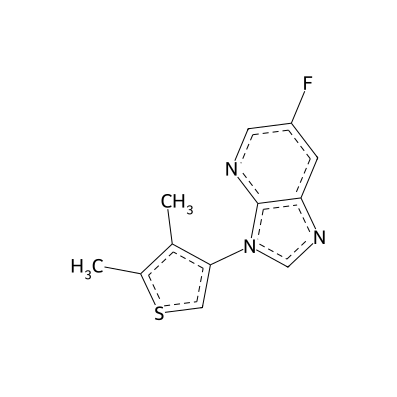 Cc1scc(-n2cnc3cc(F)cnc32)c1C